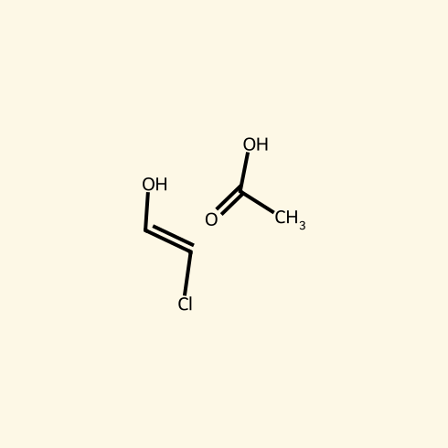 CC(=O)O.OC=CCl